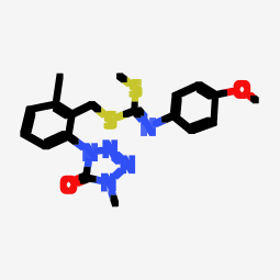 COc1ccc(/N=C(\SC)SCc2c(C)cccc2-n2nnn(C)c2=O)cc1